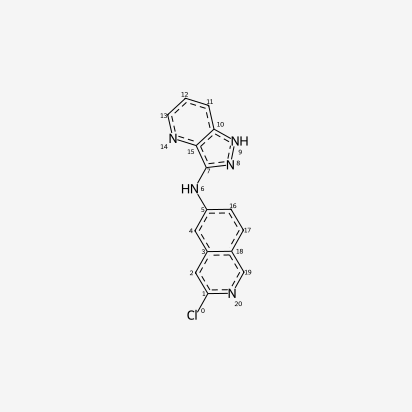 Clc1cc2cc(Nc3n[nH]c4cccnc34)ccc2cn1